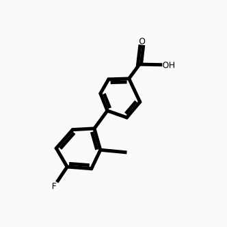 Cc1cc(F)ccc1-c1ccc(C(=O)O)cc1